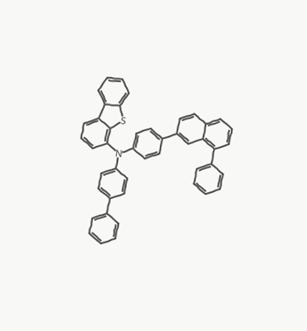 c1ccc(-c2ccc(N(c3ccc(-c4ccc5cccc(-c6ccccc6)c5c4)cc3)c3cccc4c3sc3ccccc34)cc2)cc1